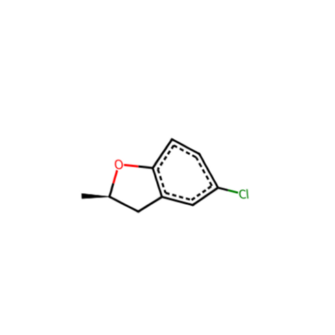 C[C@@H]1Cc2cc(Cl)ccc2O1